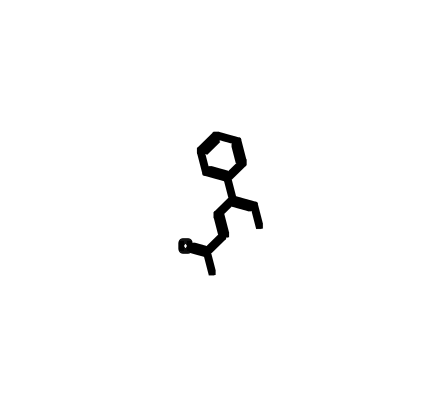 CC=C(C=CC(C)=O)c1ccccc1